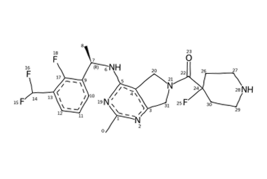 Cc1nc2c(c(N[C@H](C)c3cccc(C(F)F)c3F)n1)CN(C(=O)C1(F)CCNCC1)C2